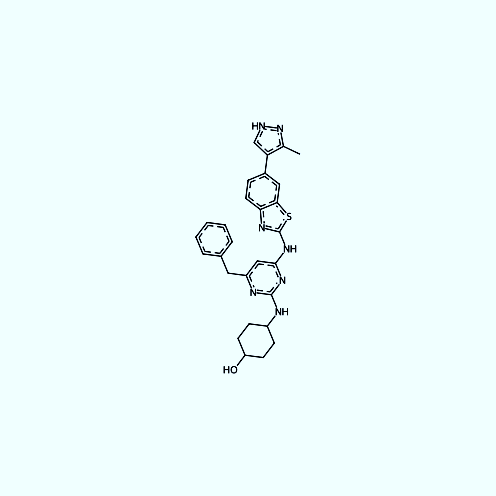 Cc1n[nH]cc1-c1ccc2nc(Nc3cc(Cc4ccccc4)nc(NC4CCC(O)CC4)n3)sc2c1